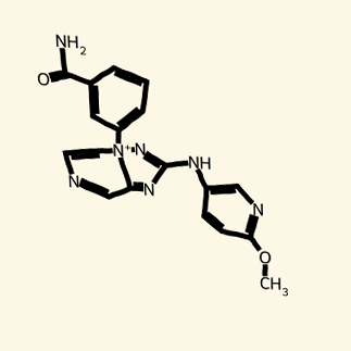 COc1ccc(NC2=N[N+]3(c4cccc(C(N)=O)c4)C=CN=CC3=N2)cn1